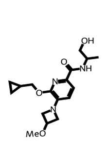 COC1CN(c2ccc(C(=O)NC(C)CO)nc2OCC2CC2)C1